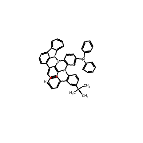 Cc1cc2c3c(c1)N(c1ccc(C(C)(C)C)cc1-c1ccccc1)c1cc(N(c4ccccc4)c4ccccc4)ccc1B3n1c3ccccc3c3cccc-2c31